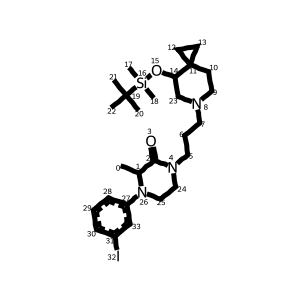 CC1C(=O)N(CCCN2CCC3(CC3)C(O[Si](C)(C)C(C)(C)C)C2)CCN1c1cccc(I)c1